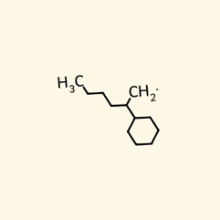 [CH2]C(CCCC)C1CCCCC1